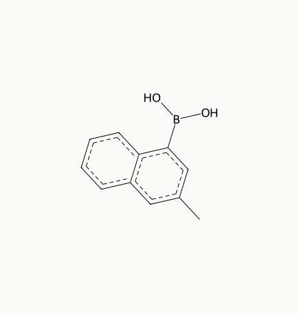 Cc1cc(B(O)O)c2ccccc2c1